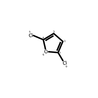 Clc1[c][c]c(Cl)o1